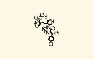 CC(C)[C@H](c1ccc(Cl)cc1)[C@H](N=[N+]=[N-])C(=O)Nc1cncc(F)c1CC[C@H]1COC(C)(C)N1C(=O)OC(C)(C)C